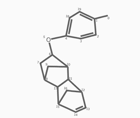 Cc1ccc(OC2CC3CC2C2C4C=CC(C4)C32)cc1